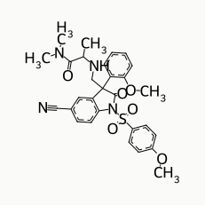 COc1ccc(S(=O)(=O)N2C(=O)C(CNC(C)C(=O)N(C)C)(c3ccccc3OC)c3cc(C#N)ccc32)cc1